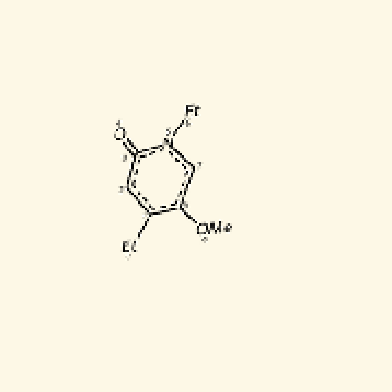 CCc1cc(=O)n(CC)cc1OC